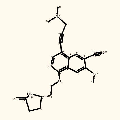 COc1cc2c(OCC[C@@H]3CCC(=O)N3)ncc(C#CCN(C)C)c2cc1C#N